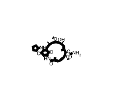 CO[C@H]1C[C@H](C)CC2=C(NC3CCCC3)C(=O)C=C(NC(=O)/C(C)=C/C=C\[C@@H](OC)[C@@H](OC(N)=O)/C(C)=C/[C@H](C)[C@H]1O)C2=O